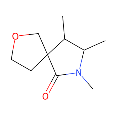 CC1C(C)C2(CCOC2)C(=O)N1C